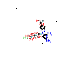 Cl.Nc1ccc(/N=N/c2ccccc2)c(N)n1.OB(O)F.OB(O)F.OB(O)F.OB(O)F